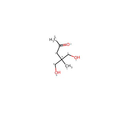 CC(=O)CC(C)(CO)CO